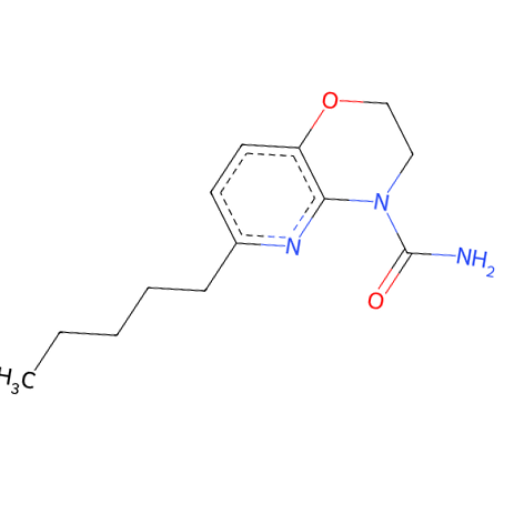 CCCCCc1ccc2c(n1)N(C(N)=O)CCO2